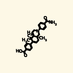 CC1(C)C(c2ccc(C(=O)O)cc2)=CC[C@]2(C)CN(c3ccc(C(N)=O)cc3)CC=C12